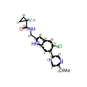 COc1cnc(-c2cc3[nH]c(CNC(=O)C4(F)CC4)cc3cc2Cl)cn1